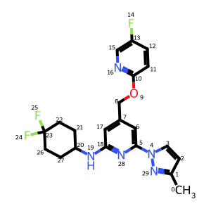 Cc1ccn(-c2cc(COc3ccc(F)cn3)cc(NC3CCC(F)(F)CC3)n2)n1